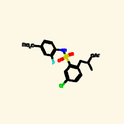 CCOC(=O)c1ccc(NS(=O)(=O)c2cc(Cl)ccc2CC(C)OC(C)=O)c(F)c1